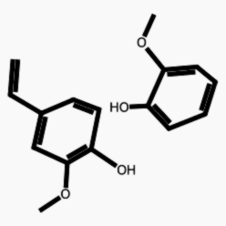 C=Cc1ccc(O)c(OC)c1.COc1ccccc1O